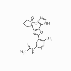 CC(=O)Nc1cc(-c2nc(N3CCCS3(=O)=O)c(-c3nnc[nH]3)o2)c(C)cn1